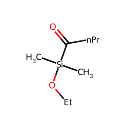 CCCC(=O)[Si](C)(C)OCC